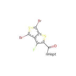 CCCCCCCC(=O)c1sc2c(Br)sc(Br)c2c1F